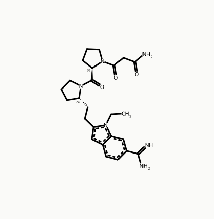 CCn1c(CC[C@@H]2CCCN2C(=O)[C@H]2CCCN2C(=O)CC(N)=O)cc2ccc(C(=N)N)cc21